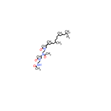 CC(=O)NCCN(CCN(CCN(CC=C(C)CCCC(C)CCCC(C)CCCC(C)C)C(C)=O)C(C)=O)C(C)=O